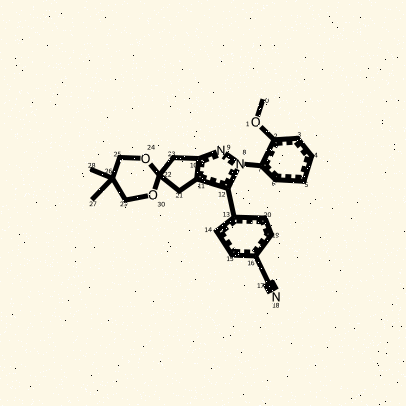 COc1ccccc1-n1nc2c(c1-c1ccc(C#N)cc1)CC1(C2)OCC(C)(C)CO1